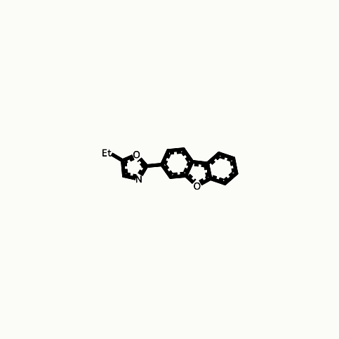 CCc1cnc(-c2ccc3c(c2)oc2ccccc23)o1